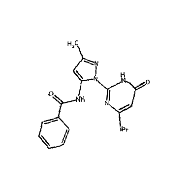 Cc1cc(NC(=O)c2ccccc2)n(-c2nc(C(C)C)cc(=O)[nH]2)n1